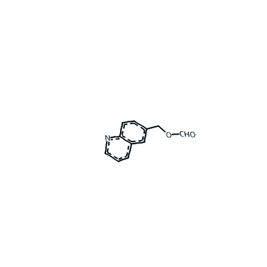 O=[C]OCc1ccc2ncccc2c1